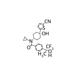 C[C@](O)(c1ccc(C(=O)N(C2CC2)[C@H]2CC[C@](O)(c3ccc(C#N)s3)CC2)cc1)C(F)(F)F